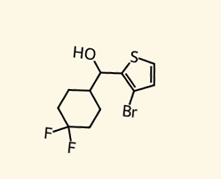 OC(c1sccc1Br)C1CCC(F)(F)CC1